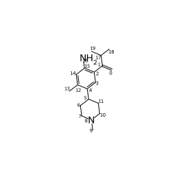 C=C(c1cc(C2CCN(C)CC2)c(C)cc1N)C(C)C